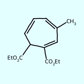 CCOC(=O)C1=CC(C)=CC=CC1C(=O)OCC